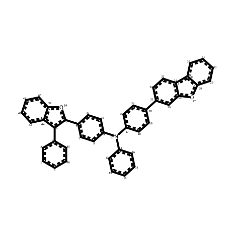 c1ccc(-c2c(-c3ccc(N(c4ccccc4)c4ccc(-c5ccc6c(c5)oc5ccccc56)cc4)cc3)oc3ccccc23)cc1